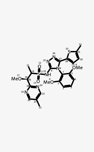 COc1cccc(OC)c1-n1c(NS(=O)(=O)C(C)[C@H](OC)c2ncc(C)cn2)nnc1-c1ccc(C)s1